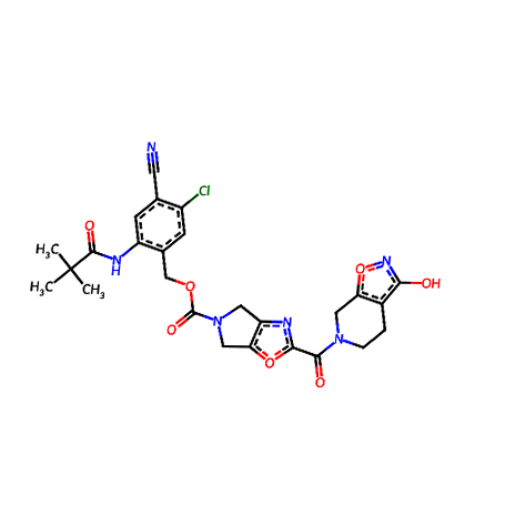 CC(C)(C)C(=O)Nc1cc(C#N)c(Cl)cc1COC(=O)N1Cc2nc(C(=O)N3CCc4c(O)noc4C3)oc2C1